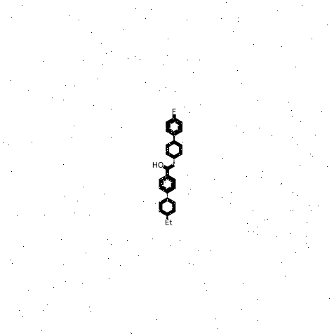 CC[C@H]1CC[C@H](c2ccc(C(O)C[C@H]3CC[C@H](c4ccc(F)cc4)CC3)cc2)CC1